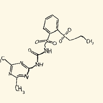 CCCS(=O)(=O)c1ccccc1S(=O)(=O)NC(=O)Nc1nc(C)nc(C)n1